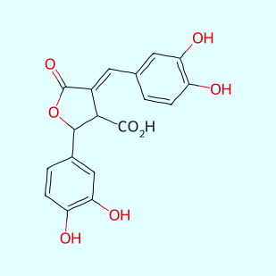 O=C1OC(c2ccc(O)c(O)c2)C(C(=O)O)/C1=C\c1ccc(O)c(O)c1